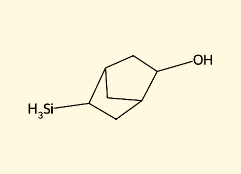 OC1CC2CC1CC2[SiH3]